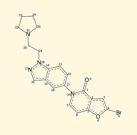 O=c1c2cc(Br)oc2ccn1-c1ccc2c(cnn2CCN2CCCC2)c1